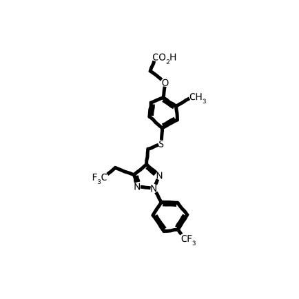 Cc1cc(SCc2nn(-c3ccc(C(F)(F)F)cc3)nc2CC(F)(F)F)ccc1OCC(=O)O